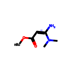 CCCCOC(=O)/C=C(/N)N(C)C